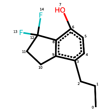 CCCc1ccc(O)c2c1CCC2(F)F